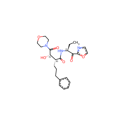 CC[C@H](NC(=O)[C@H](CCCc1ccccc1)[C@H](O)C(=O)N1CCOCC1)C(=O)c1ncco1